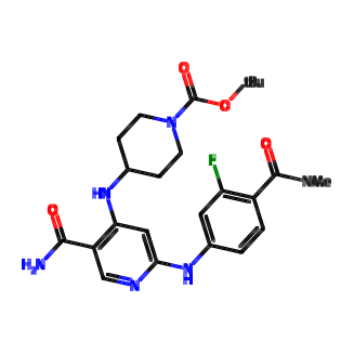 CNC(=O)c1ccc(Nc2cc(NC3CCN(C(=O)OC(C)(C)C)CC3)c(C(N)=O)cn2)cc1F